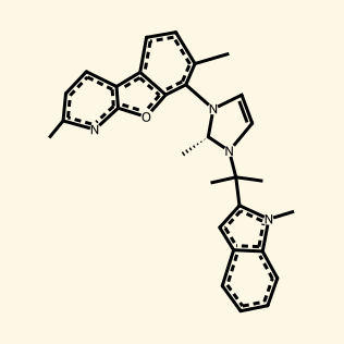 Cc1ccc2c(n1)oc1c(N3C=CN(C(C)(C)c4cc5ccccc5n4C)[C@@H]3C)c(C)ccc12